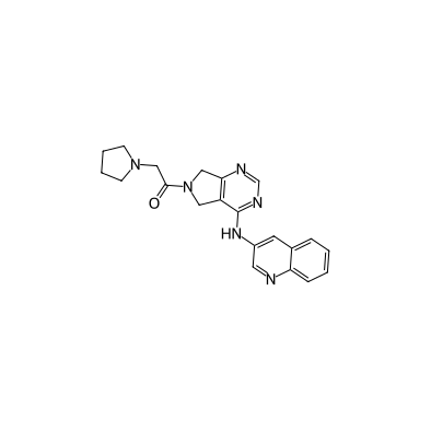 O=C(CN1CCCC1)N1Cc2ncnc(Nc3cnc4ccccc4c3)c2C1